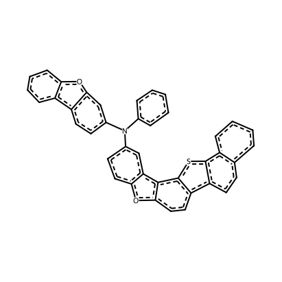 c1ccc(N(c2ccc3c(c2)oc2ccccc23)c2ccc3oc4ccc5c6ccc7ccccc7c6sc5c4c3c2)cc1